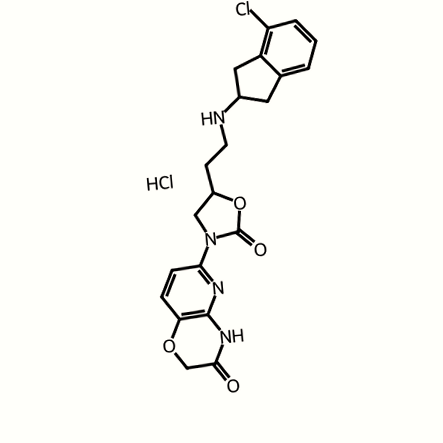 Cl.O=C1COc2ccc(N3CC(CCNC4Cc5cccc(Cl)c5C4)OC3=O)nc2N1